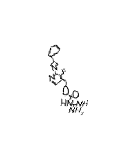 N=C(N)NC(=O)OCc1ccnc(N2CC(c3ccccc3)C2)c1F